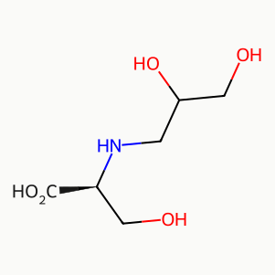 O=C(O)[C@H](CO)NCC(O)CO